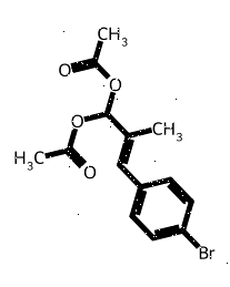 CC(=O)OC(OC(C)=O)/C(C)=C/c1ccc(Br)cc1